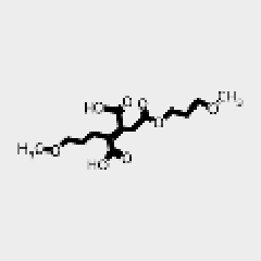 COCCCOC(=O)CC(C(=O)O)=C(CCCOC)C(=O)O